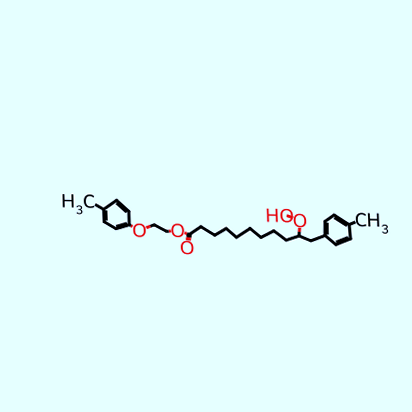 Cc1ccc(CC(CCCCCCCCC(=O)OCCOc2ccc(C)cc2)OO)cc1